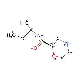 CCC(C)NC(=O)[C@H]1CNCCO1